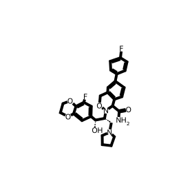 NC(=O)C1c2ccc(-c3ccc(F)cc3)cc2CON1[C@H](CN1CCCC1)[C@H](O)c1cc(F)c2c(c1)OCCO2